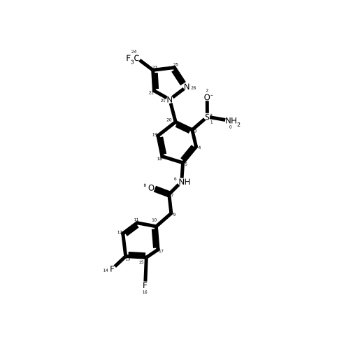 N[S+]([O-])c1cc(NC(=O)Cc2ccc(F)c(F)c2)ccc1-n1cc(C(F)(F)F)cn1